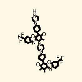 Cc1c2nc3ccc(C(F)(F)F)cc3oc-2c(-c2ccc(N3CCN(c4c5nc6ccc(C(F)(F)F)cc6oc-5c(-c5ccc(N6CCNCC6)cc5)c(=O)c4C)CC3)cc2)c(=O)c1C